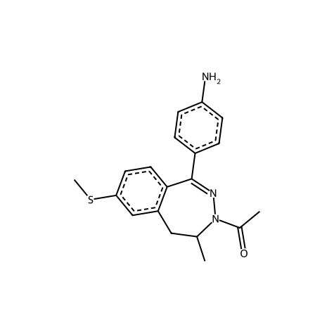 CSc1ccc2c(c1)CC(C)N(C(C)=O)N=C2c1ccc(N)cc1